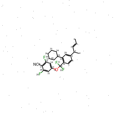 C/C=C/C(C)c1ccc(C(F)(F)Oc2cc(F)c(C#N)c(F)c2)c(C2CCCCC2)c1